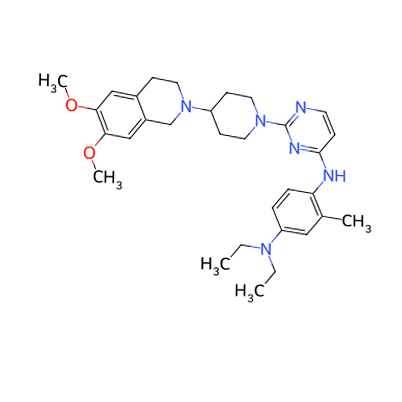 CCN(CC)c1ccc(Nc2ccnc(N3CCC(N4CCc5cc(OC)c(OC)cc5C4)CC3)n2)c(C)c1